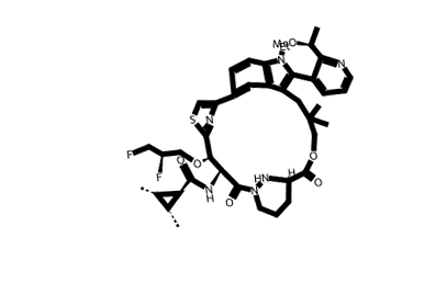 CCn1c(-c2cccnc2[C@H](C)OC)c2c3cc(ccc31)-c1csc(n1)[C@@H](OC[C@@H](F)CF)[C@H](NC(=O)[C@H]1[C@H](C)[C@@H]1C)C(=O)N1CCC[C@H](N1)C(=O)OCC(C)(C)C2